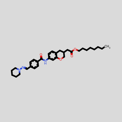 CCCCCCCCOC(=O)CC1COc2cc(NC(=O)c3ccc(C=NN4CCCCC4)cc3)ccc2C1